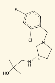 CC(C)(O)CN[C@H]1CCN(Cc2ccc(F)cc2Cl)C1